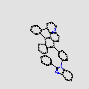 c1ccc(-c2nc3ccccc3n2-c2cccc(-c3c4ccccc4c(-c4ccccc4-c4cccnc4)c4ccccc34)c2)cc1